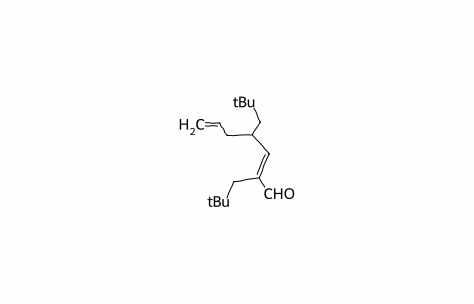 C=CCC(/C=C(/C=O)CC(C)(C)C)CC(C)(C)C